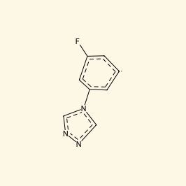 Fc1c[c]cc(-n2cnnc2)c1